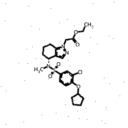 CCOC(=O)Cn1ncc2c1CCC[C@H]2N(C)S(=O)(=O)c1ccc(OC2CCCC2)c(Cl)c1